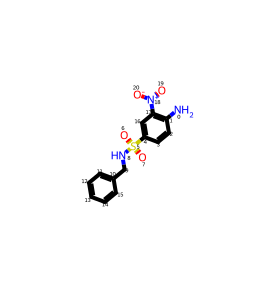 Nc1ccc(S(=O)(=O)NCc2ccccc2)cc1[N+](=O)[O-]